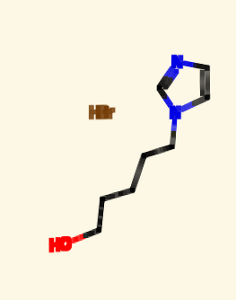 Br.OCCCCCn1ccnc1